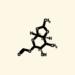 CC1O[C@H]2OC(OC=O)[C@@H](O)C(C)[C@@H]2O1